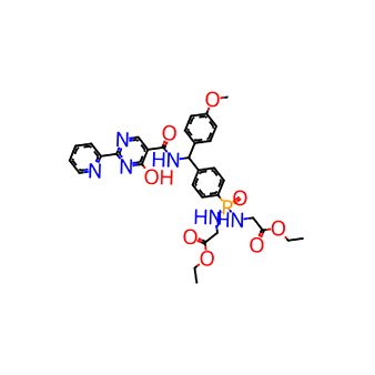 CCOC(=O)CNP(=O)(NCC(=O)OCC)c1ccc(C(NC(=O)c2cnc(-c3ccccn3)nc2O)c2ccc(OC)cc2)cc1